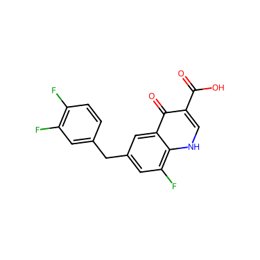 O=C(O)c1c[nH]c2c(F)cc(Cc3ccc(F)c(F)c3)cc2c1=O